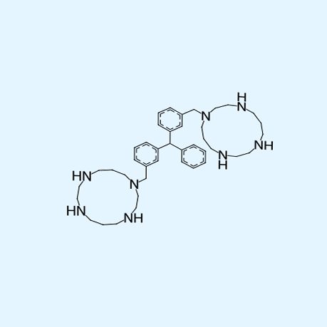 c1ccc(C(c2cccc(CN3CCCNCCNCCCNCC3)c2)c2cccc(CN3CCCNCCNCCCNCC3)c2)cc1